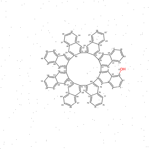 Oc1cccc2cc3c(cc12)-c1cc2ccccc2cc1-c1cc2ccccc2cc1-c1cc2ccccc2cc1-c1cc2ccccc2cc1-c1cc2ccccc2cc1-c1cc2ccccc2cc1-c1cc2ccccc2cc1-3